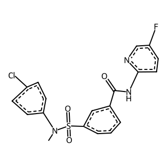 CN(c1ccc(Cl)cc1)S(=O)(=O)c1cccc(C(=O)Nc2ccc(F)cn2)c1